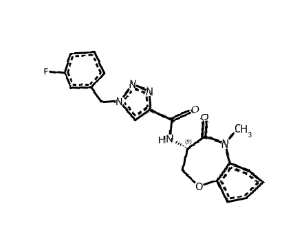 CN1C(=O)[C@@H](NC(=O)c2cn(Cc3cccc(F)c3)nn2)COc2ccccc21